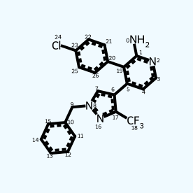 Nc1nccc(-c2cn(Cc3ccccc3)nc2C(F)(F)F)c1-c1ccc(Cl)cc1